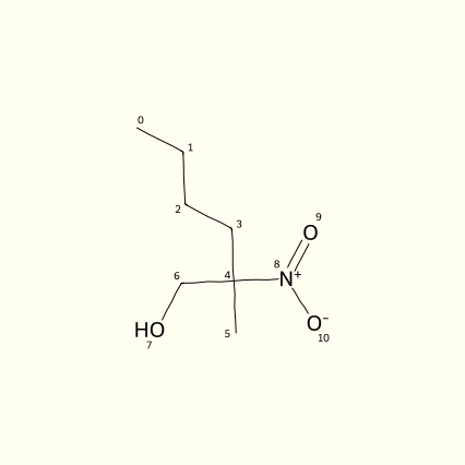 CCCCC(C)(CO)[N+](=O)[O-]